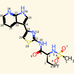 CC(C)C[C@H](NS(C)(=O)=O)C(=O)Nc1nc(-c2c[nH]c3ncccc23)cs1